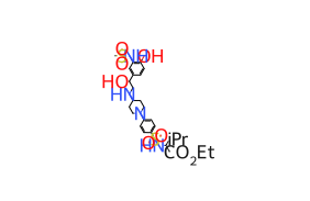 CCOC(=O)[C@@H](NS(=O)(=O)c1ccc(N2CCC(NC[C@H](O)c3ccc(O)c(NS(C)(=O)=O)c3)CC2)cc1)C(C)C